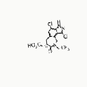 O=C(O)C[C@@H]1Cc2cc(Cl)c3[nH]nc(Cl)c3c2CN(CC(F)(F)F)C1=O